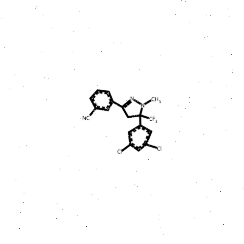 CN1N=C(c2cccc(C#N)c2)CC1(c1cc(Cl)cc(Cl)c1)C(F)(F)F